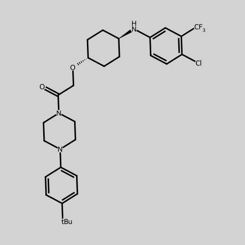 CC(C)(C)c1ccc(N2CCN(C(=O)CO[C@H]3CC[C@H](Nc4ccc(Cl)c(C(F)(F)F)c4)CC3)CC2)cc1